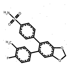 Cc1cc(-c2cc3c(cc2-c2ccc(S(N)(=O)=O)cc2)OCO3)ccc1F